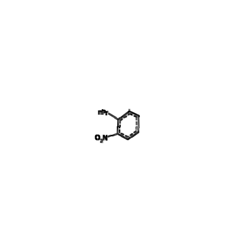 CCCc1[c]cccc1[N+](=O)[O-]